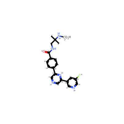 CC(C)(CNC(=O)c1ccc(-c2cncc(-c3cncc(F)c3)n2)cc1)NC(=O)O